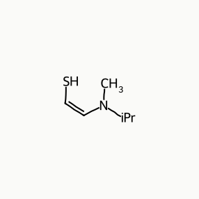 CC(C)N(C)/C=C\S